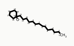 CCCCCCCCCCCCCCC1([O])CCCCC1